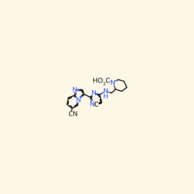 N#Cc1ccc2ncc(-c3nccc(NCC4CCCCN4C(=O)O)n3)n2c1